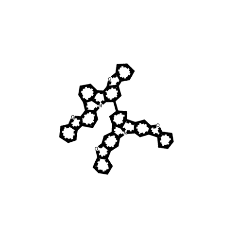 c1ccc2c(c1)oc1cc3c4cc(-c5cc6c7ccccc7oc6c6c7cccc8c9c%10oc%11ccccc%11c%10ccc9n(c56)c87)cc5c6cc7oc8ccccc8c7cc6n(c3cc12)c45